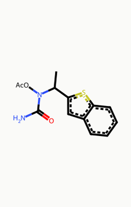 CC(=O)ON(C(N)=O)C(C)c1cc2ccccc2s1